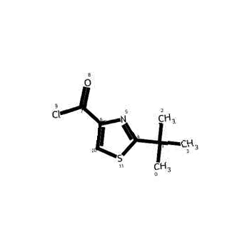 CC(C)(C)c1nc(C(=O)Cl)cs1